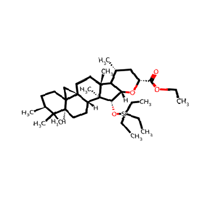 CCOC(=O)[C@H]1C[C@@H](C)C2[C@H](O1)[C@H](O[Si](CC)(CC)CC)[C@@]1(C)[C@@H]3CC[C@H]4C(C)(C)[C@@H](C)CCC45C[C@@]35CC[C@]21C